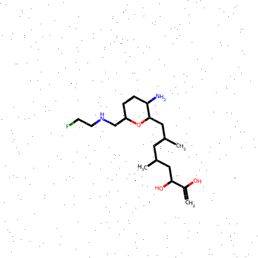 C=C(O)C(O)CC(C)CC(C)CC1OC(CNCCF)CCC1N